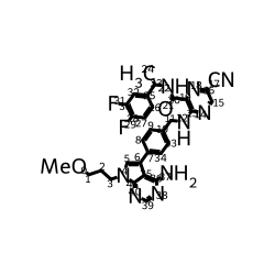 COCCCn1cc(-c2ccc(CNc3ncc(C#N)nc3C(=O)NC(C)c3ccc(F)c(F)c3)cc2)c2c(N)ncnc21